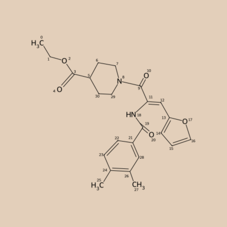 CCOC(=O)C1CCN(C(=O)/C(=C/c2ccco2)NC(=O)c2ccc(C)c(C)c2)CC1